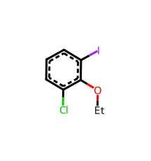 CCOc1c(Cl)cccc1I